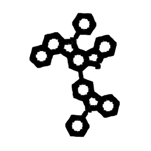 c1ccc(-n2c3ccccc3c3cc(-c4cc5c6c7ccccc7ccc6n(-c6ccccc6)c5c5c4sc4ccccc45)ccc32)cc1